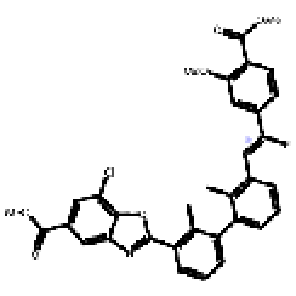 COC(=O)c1cc(Cl)c2oc(-c3cccc(-c4cccc(/C=C(\F)c5ccc(C(=O)OC)c(OC)c5)c4C)c3C)nc2c1